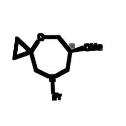 CO[C@@H]1COC2(CC2)CN(C(C)C)C1